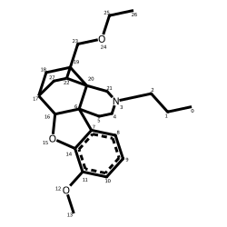 CCCN1CCC23c4cccc(OC)c4OC2C2CCC3(C1)C(COCC)C2